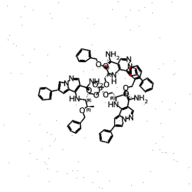 C[C@@H](OCc1ccccc1)[C@@H](COP(=O)(OC[C@@H](Nc1c(C(N)=O)cnn2cc(-c3ccccc3)cc12)[C@@H](C)OCc1ccccc1)OC[C@@H](Nc1c(C(N)=O)cnn2cc(-c3ccccc3)cc12)[C@@H](C)OCc1ccccc1)Nc1c(C(N)=O)cnn2cc(-c3ccccc3)cc12